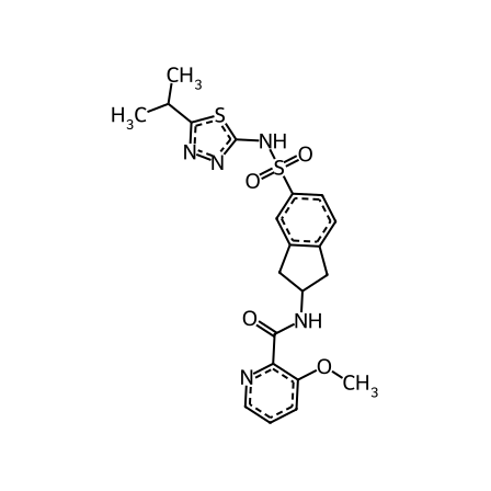 COc1cccnc1C(=O)NC1Cc2ccc(S(=O)(=O)Nc3nnc(C(C)C)s3)cc2C1